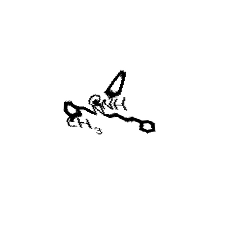 Cc1cccc(CCN(CCCCC2CCCCC2)C(=O)NC2CCCCC2)c1